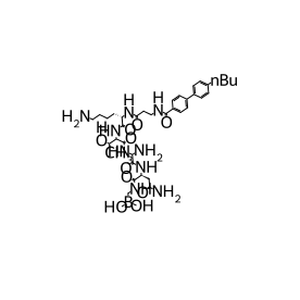 CCCCc1ccc(-c2ccc(C(=O)NCCC(=O)N[C@@H](CCCCN)C(=O)N[C@H](C(=O)N[C@@H](N)C(=O)N[C@@H](CC(N)=O)C(=O)NCB(O)O)C(C)O)cc2)cc1